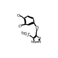 CCOC(=O)c1[nH]nnc1Oc1ccc(Cl)c(Cl)c1